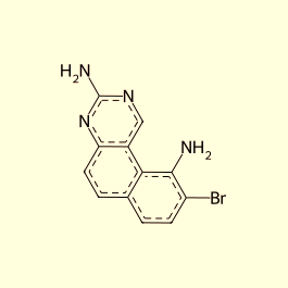 Nc1ncc2c(ccc3ccc(Br)c(N)c32)n1